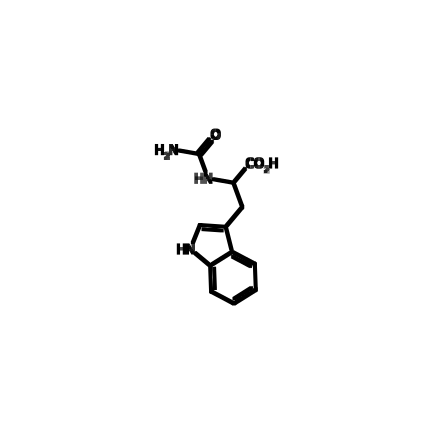 NC(=O)NC(Cc1c[nH]c2ccccc12)C(=O)O